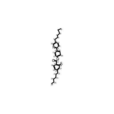 CCCCCCc1ccc(-c2ccc(OC(=O)c3ccc(CCCCCC)cc3F)cc2)nc1